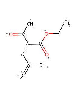 C=C(C)C[C@H](C(C)=O)C(=O)OCC